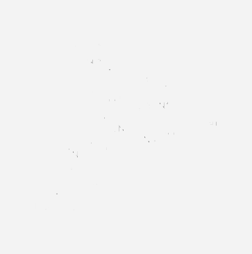 CC(C)(C)OC(=O)N1CCC[C@H]1c1ncc(-c2cnc3cc(O)ccc3c2)n1COCC[Si](C)(C)C